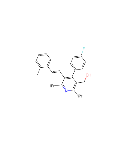 Cc1ccccc1/C=C/c1c(C(C)C)nc(C(C)C)c(CO)c1-c1ccc(F)cc1